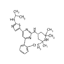 CC(C)Nc1ncc(-c2cc(-c3ccccc3Cl)nc(NC3CC(C)(C)NC(C)(C)C3)n2)s1